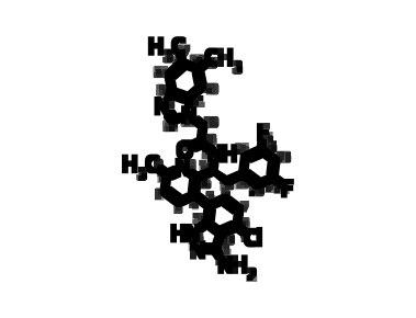 Cc1ccc(-c2ccc(Cl)c3c(N)n[nH]c23)c([C@H](Cc2cc(F)cc(F)c2)NC(=O)Cn2cnc3cc(C)c(C)cc32)n1